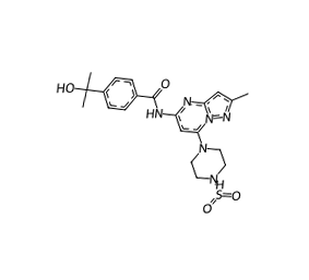 Cc1cc2nc(NC(=O)c3ccc(C(C)(C)O)cc3)cc(N3CCN([SH](=O)=O)CC3)n2n1